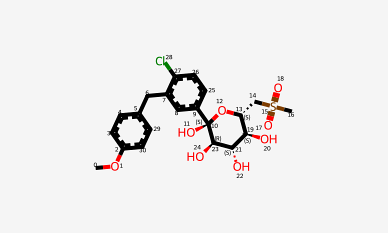 COc1ccc(Cc2cc([C@]3(O)O[C@H](CS(C)(=O)=O)[C@@H](O)[C@H](O)[C@H]3O)ccc2Cl)cc1